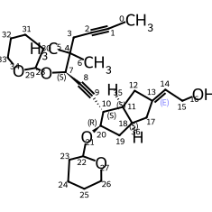 CC#CCC(C)(C)[C@@H](C#C[C@@H]1[C@H]2C/C(=C/CO)C[C@H]2C[C@H]1OC1CCCCO1)OC1CCCCO1